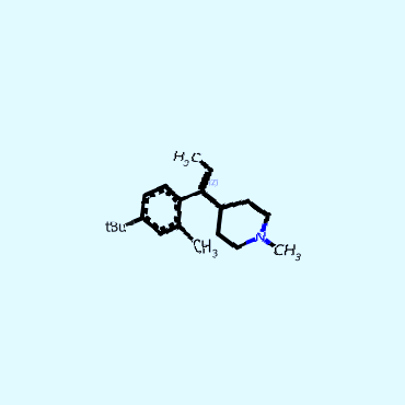 C/C=C(\c1ccc(C(C)(C)C)cc1C)C1CCN(C)CC1